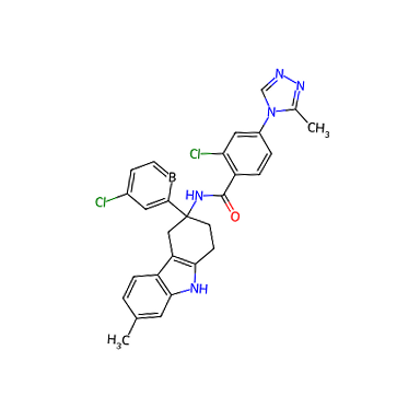 Cc1ccc2c3c([nH]c2c1)CCC(NC(=O)c1ccc(-n2cnnc2C)cc1Cl)(c1bccc(Cl)c1)C3